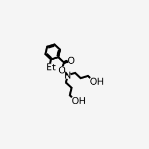 CCc1ccccc1C(=O)ON(CCCO)CCCO